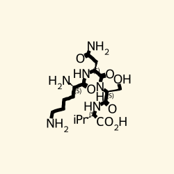 CC(C)[C@H](NC(=O)[C@H](CO)NC(=O)[C@H](CC(N)=O)NC(=O)[C@@H](N)CCCCN)C(=O)O